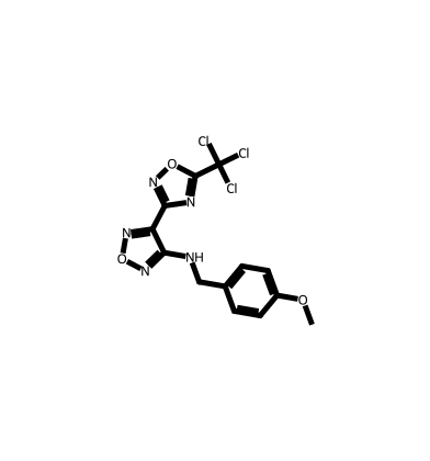 COc1ccc(CNc2nonc2-c2noc(C(Cl)(Cl)Cl)n2)cc1